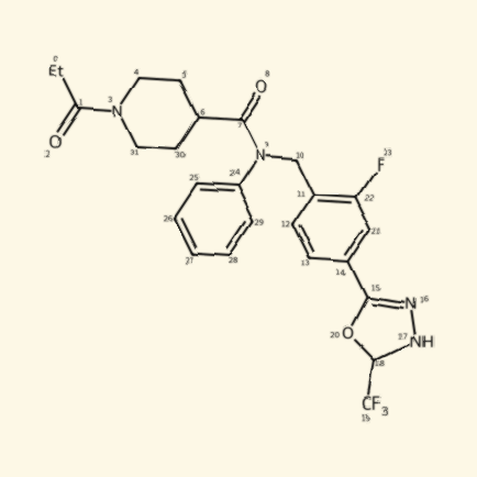 CCC(=O)N1CCC(C(=O)N(Cc2ccc(C3=NNC(C(F)(F)F)O3)cc2F)c2ccccc2)CC1